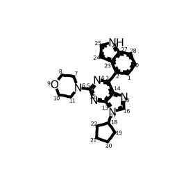 c1cc(-c2nc(N3CCOCC3)nc3c2ncn3C2CCCC2)c2cc[nH]c2c1